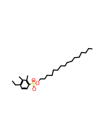 CCCCCCCCCCCCCCCCOS(=O)(=O)c1ccc(CC)c(C)c1C